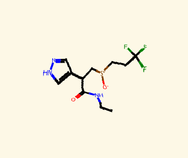 CCNC(=O)C(C[S+]([O-])CCC(F)(F)F)c1cn[nH]c1